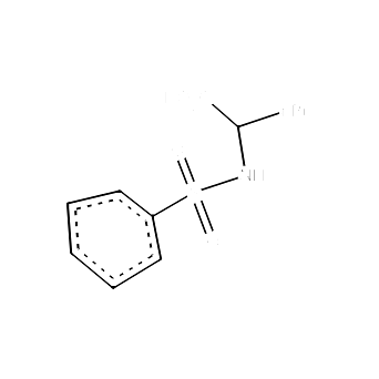 CCCCC(NS(=O)(=O)c1ccccc1)C(=O)O